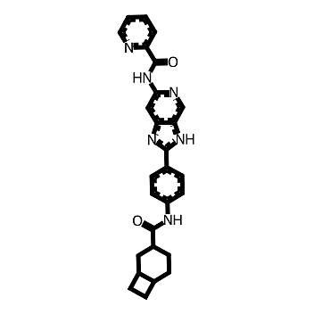 O=C(Nc1cc2nc(-c3ccc(NC(=O)C4CCC5CCC5C4)cc3)[nH]c2cn1)c1ccccn1